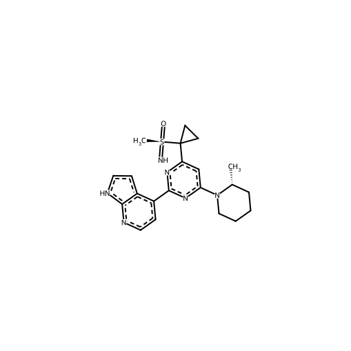 C[C@@H]1CCCCN1c1cc(C2([S@](C)(=N)=O)CC2)nc(-c2ccnc3[nH]ccc23)n1